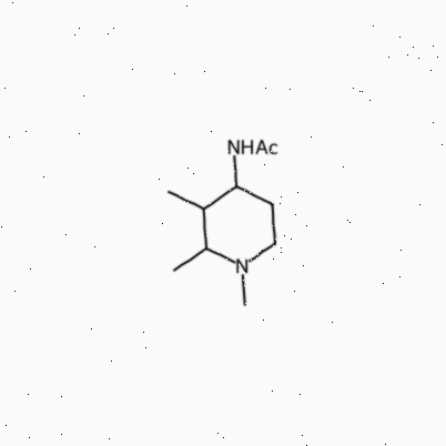 CC(=O)NC1CCN(C)C(C)C1C